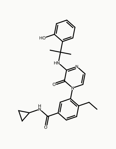 CCc1ccc(C(=O)NC2CC2)cc1-n1ccnc(NC(C)(C)c2ccccc2O)c1=O